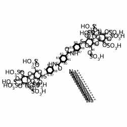 O=C(Nc1ccc(S[C@@H]2O[C@H](COS(=O)(=O)O)[C@@H](O[C@H]3O[C@H](COS(=O)(=O)O)[C@@H](OS(=O)(=O)O)[C@H](OS(=O)(=O)O)[C@H]3OS(=O)(=O)O)[C@H](OS(=O)(=O)O)[C@H]2OS(=O)(=O)O)cc1)c1ccc(C(=O)Nc2ccc(S[C@@H]3O[C@H](COS(=O)(=O)O)[C@@H](O[C@H]4O[C@H](COS(=O)(=O)O)[C@@H](OS(=O)(=O)O)[C@H](OS(=O)(=O)O)[C@H]4OS(=O)(=O)O)[C@H](OS(=O)(=O)O)[C@H]3OS(=O)(=O)O)cc2)cc1.[Na+].[Na+].[Na+].[Na+].[Na+].[Na+].[Na+].[Na+].[Na+].[Na+].[Na+].[Na+].[Na+].[Na+]